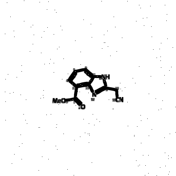 COC(=O)c1cccc2[nH]c(CC#N)nc12